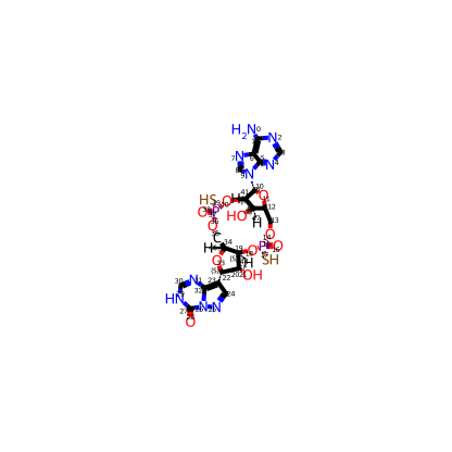 Nc1ncnc2c1ncn2[C@@H]1OC2COP(=O)(S)O[C@H]3[C@@H](O)[C@H](c4cnn5c(=O)[nH]cnc45)O[C@@H]3COP(=O)(S)O[C@@H]1[C@@H]2O